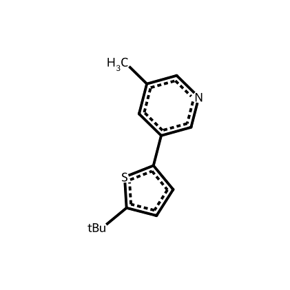 Cc1cncc(-c2ccc(C(C)(C)C)s2)c1